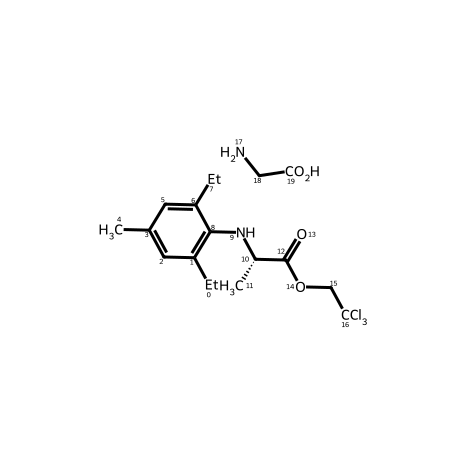 CCc1cc(C)cc(CC)c1N[C@@H](C)C(=O)OCC(Cl)(Cl)Cl.NCC(=O)O